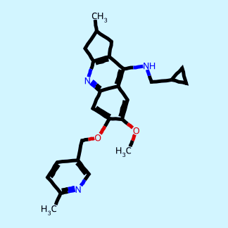 COc1cc2c(NCC3CC3)c3c(nc2cc1OCc1ccc(C)nc1)CC(C)C3